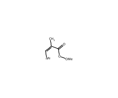 CCCC=C(C)C(=O)OOC